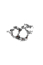 CC[C@H](C)[C@@H]1NC(=O)[C@H](CN)NC(=O)[C@H](CN)NC(=O)[C@@H]2CCCN2C(=O)[C@H]([C@@H](C)CC)NC(=O)[C@H]2NC(=O)[C@H]([C@@H](C)CC)NC(=O)[C@@H]3C[C@@H]4CCCC[C@@H]4N3C(=O)[C@H]3CCN3C(=O)[C@H](CC(C)C)NC(=O)[C@H](CO)NC(=O)[C@H](CCCNC(=N)N)NC(=O)[C@H](CO)NC(=O)[C@@H](NC1=O)SSC2(C)C